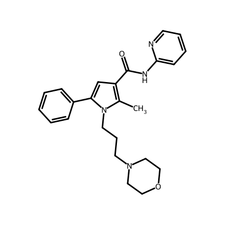 Cc1c(C(=O)Nc2ccccn2)cc(-c2ccccc2)n1CCCN1CCOCC1